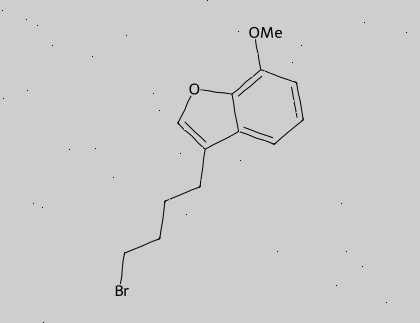 COc1cccc2c(CCCCBr)coc12